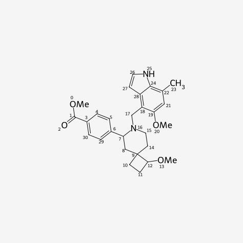 COC(=O)c1ccc(C2CC3(CCC3OC)CCN2Cc2c(OC)cc(C)c3[nH]ccc23)cc1